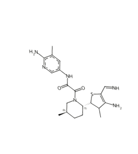 Cc1cc(NC(=O)C(=O)N2C[C@H](C)CC[C@H]2C2SC(C=N)=C(N)C2C)cnc1N